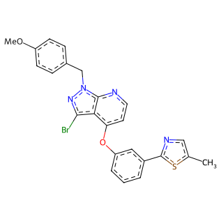 COc1ccc(Cn2nc(Br)c3c(Oc4cccc(-c5ncc(C)s5)c4)ccnc32)cc1